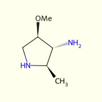 CO[C@@H]1CN[C@H](C)[C@H]1N